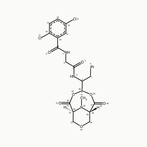 CC(C)CC(NC(=O)CNC(=O)c1cc(Cl)ccc1Cl)B1OC(=O)[C@@H]2COC[C@@H](C(=O)O1)N2C